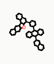 c1cc(-c2c3ccccc3c(-c3ccc4ccccc4c3)c3ccccc23)cc(-c2cc3ccccc3c3c2oc2cc4ccccc4cc23)c1